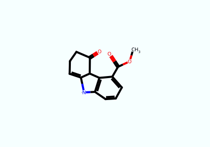 COC(=O)c1cccc2c1C1C(=O)CCC=C1[N]2